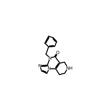 O=c1c2c(n3ccnc3n1Cc1ccccc1)CCNC2